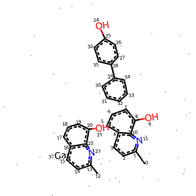 Cc1ccc2cccc(O)c2n1.Cc1ccc2cccc(O)c2n1.Oc1ccc(-c2ccccc2)cc1.[Ga]